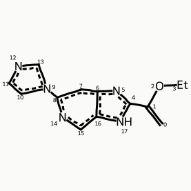 C=C(OCC)c1nc2cc(-n3ccnc3)ncc2[nH]1